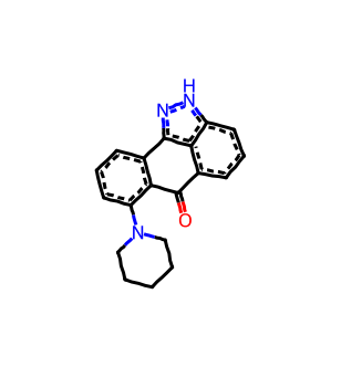 O=C1c2c(cccc2N2CCCCC2)-c2n[nH]c3cccc1c23